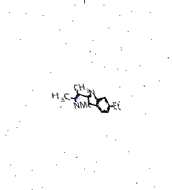 CCc1ccc2c(c1)N=C(/C(C)=C(/C)NC)C2